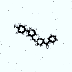 O=C(c1ccccc1)C1CCN(Cc2ccnc(-c3ccc(F)cc3)c2)CC1